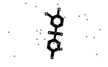 O=c1ccc(S(=O)(=O)c2ccc(Cl)c(Cl)c2)n[nH]1